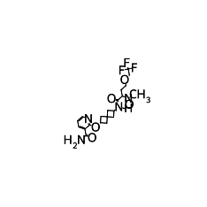 CNC(CCOCC(F)(F)F)C(=O)N(C=O)[C@H]1CC2(C[C@H](Oc3ncccc3C(N)=O)C2)C1